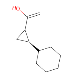 C=C(O)C1C[C@@H]1C1CCCCC1